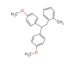 COc1ccc(C(Cc2cc[c]cc2C)c2ccc(OC)cc2)cc1